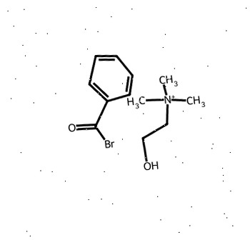 C[N+](C)(C)CCO.O=C(Br)c1ccccc1